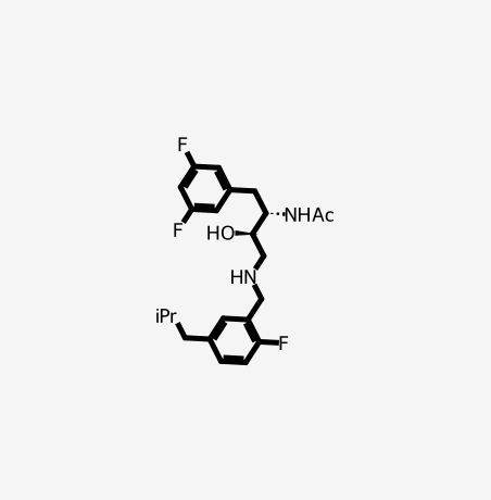 CC(=O)N[C@@H](Cc1cc(F)cc(F)c1)[C@H](O)CNCc1cc(CC(C)C)ccc1F